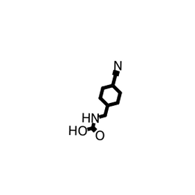 N#CC1CCC(CNC(=O)O)CC1